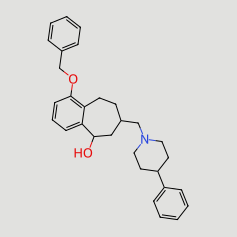 OC1CC(CN2CCC(c3ccccc3)CC2)CCc2c(OCc3ccccc3)cccc21